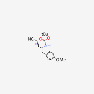 COc1ccc(CC(/C=C/C#N)NC(=O)OC(C)(C)C)cc1